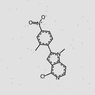 Cc1cc([N+](=O)[O-])ccc1-c1cc2c(Cl)nccc2n1C